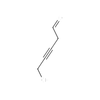 CCC#CC[C]=O